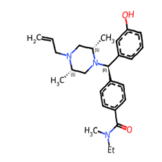 C=CCN1C[C@H](C)N([C@H](c2ccc(C(=O)N(C)CC)cc2)c2cccc(O)c2)C[C@@H]1C